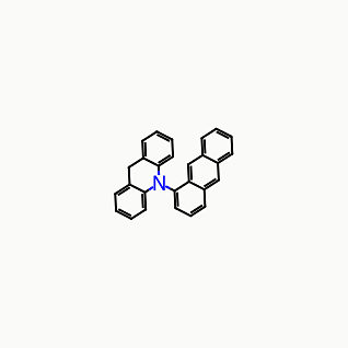 c1ccc2c(c1)Cc1ccccc1N2c1cccc2cc3ccccc3cc12